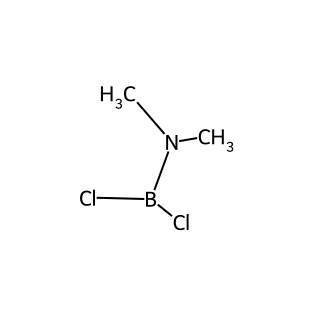 CN(C)B(Cl)Cl